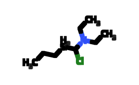 CCC[SiH2]C(Cl)N(CC)CC